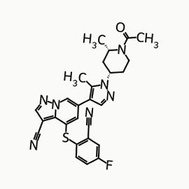 CC(=O)N1CC[C@H](n2ncc(-c3cc(Sc4ccc(F)cc4C#N)c4c(C#N)cnn4c3)c2C)C[C@@H]1C